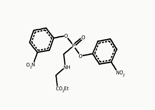 CCOC(=O)CNCP(=O)(Oc1cccc([N+](=O)[O-])c1)Oc1cccc([N+](=O)[O-])c1